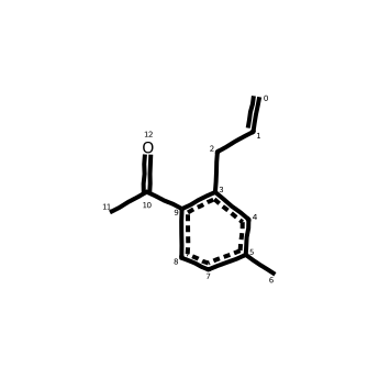 C=CCc1cc(C)ccc1C(C)=O